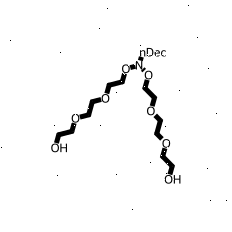 CCCCCCCCCCN(OCCOCCOCCO)OCCOCCOCCO